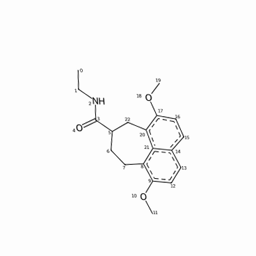 CCNC(=O)C1CCc2c(OC)ccc3ccc(OC)c(c23)C1